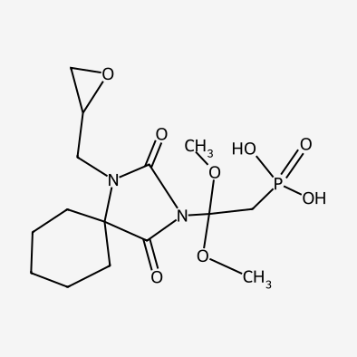 COC(CP(=O)(O)O)(OC)N1C(=O)N(CC2CO2)C2(CCCCC2)C1=O